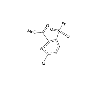 CCS(=O)(=O)c1ccc(Cl)nc1C(=O)OC